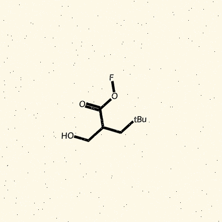 CC(C)(C)CC(CO)C(=O)OF